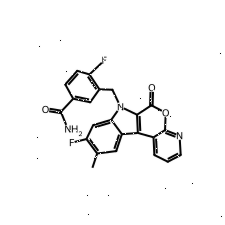 Cc1cc2c3c4cccnc4oc(=O)c3n(Cc3cc(C(N)=O)ccc3F)c2cc1F